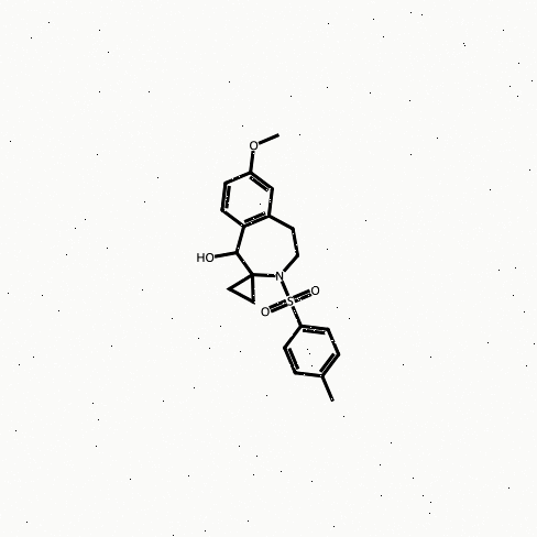 COc1ccc2c(c1)CCN(S(=O)(=O)c1ccc(C)cc1)C1(CC1)C2O